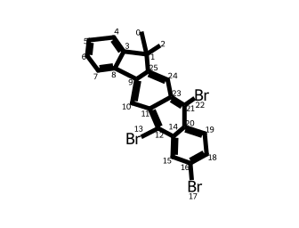 CC1(C)c2ccccc2-c2cc3c(Br)c4cc(Br)ccc4c(Br)c3cc21